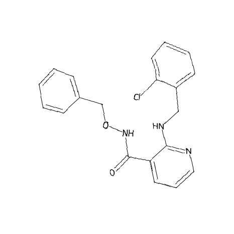 O=C(NOCc1ccccc1)c1cccnc1NCc1ccccc1Cl